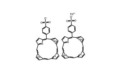 O=S(=O)([O-])c1ccc(-c2c3nc(cc4ccc(cc5nc(cc6ccc2[nH]6)C=C5)[nH]4)C=C3)cc1.O=S(=O)([O-])c1ccc(-c2c3nc(cc4ccc(cc5nc(cc6ccc2[nH]6)C=C5)[nH]4)C=C3)cc1.[Pd+2]